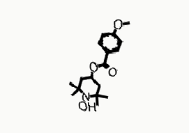 COc1ccc(C(=O)OC2CC(C)(C)N(O)C(C)(C)C2)cc1